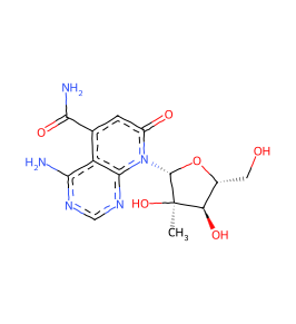 C[C@@]1(O)[C@H](O)[C@@H](CO)O[C@H]1n1c(=O)cc(C(N)=O)c2c(N)ncnc21